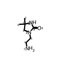 CC1(C)CN(CCN)C(=O)N1